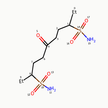 CCC(CCC(=O)CCC(CC)S(N)(=O)=O)S(N)(=O)=O